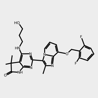 Cc1nc2c(OCc3c(F)cccc3F)cccn2c1-c1nc(NCCCO)c2c(n1)NC(=O)C2(C)C